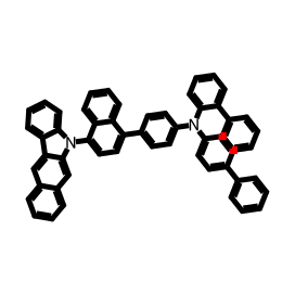 c1ccc(-c2ccc(N(c3ccc(-c4ccc(-n5c6ccccc6c6cc7ccccc7cc65)c5ccccc45)cc3)c3ccccc3-c3ccccc3)cc2)cc1